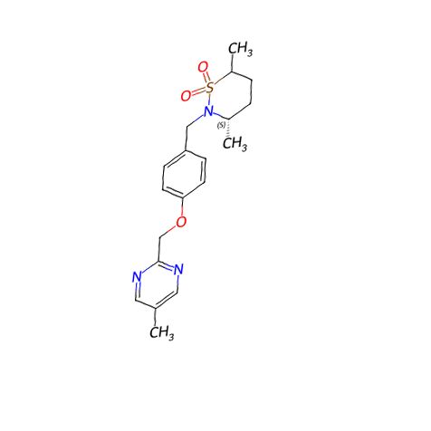 Cc1cnc(COc2ccc(CN3[C@@H](C)CCC(C)S3(=O)=O)cc2)nc1